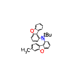 Cc1ccc2c(c1)oc1cccc(N(c3cccc4oc5ccccc5c34)C(C)(C)C)c12